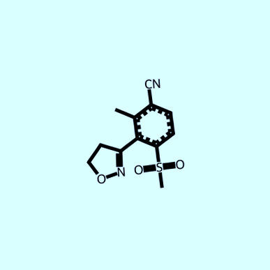 Cc1c(C#N)ccc(S(C)(=O)=O)c1C1=NOCC1